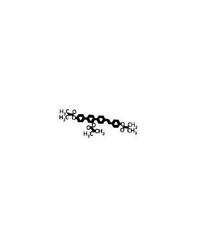 C=C(C)C(=O)Oc1ccc(/C=C/c2ccc(-c3ccc(-c4ccc(OC(=O)C(=C)C)cc4)cc3OC(=O)C(=C)C)cc2)cc1